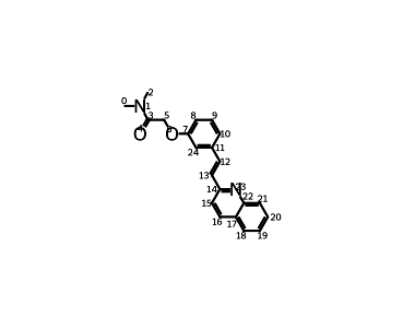 CN(C)C(=O)COc1cccc(C=Cc2ccc3ccccc3n2)c1